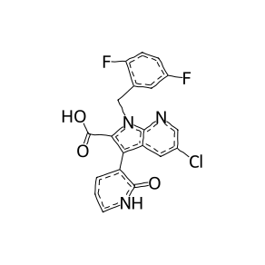 O=C(O)c1c(-c2ccc[nH]c2=O)c2cc(Cl)cnc2n1Cc1cc(F)ccc1F